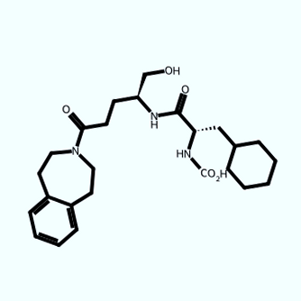 O=C(O)N[C@@H](CC1CCCCC1)C(=O)N[C@H](CO)CCC(=O)N1CCc2ccccc2CC1